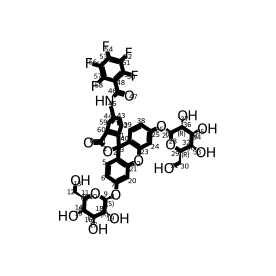 O=C1OC2(c3ccc(O[C@@H]4O[C@H](CO)[C@H](O)[C@H](O)[C@H]4O)cc3Oc3cc(O[C@@H]4O[C@H](CO)[C@H](O)[C@H](O)[C@H]4O)ccc32)c2ccc(NC(=O)c3c(F)c(F)c(F)c(F)c3F)cc21